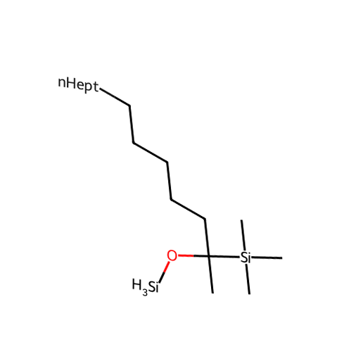 CCCCCCCCCCCCC(C)(O[SiH3])[Si](C)(C)C